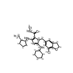 CCNC(=O)c1c(N[C@H]2CCC[C@H]2N)nc(NC2CCCCC2)n1Cc1cc(Cl)c2c(c1)CCO2